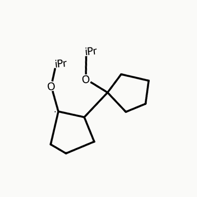 CC(C)O[C]1CCCC1C1(OC(C)C)CCCC1